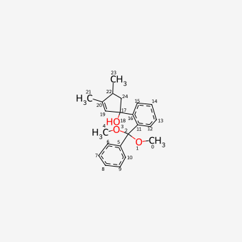 COC(OC)(c1ccccc1)c1ccccc1C1(O)C=C(C)C(C)C1